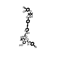 CC(C)(C)[C@H](NC(=O)CNc1ccc(C#Cc2ccc(C(=O)N[C@H]3C(C)(C)[C@H](Oc4ccc(C#N)c(Cl)c4)C3(C)C)cc2)cn1)C(=O)N1C[C@H](O)C[C@H]1C(=O)NCc1ccc(C#N)cc1